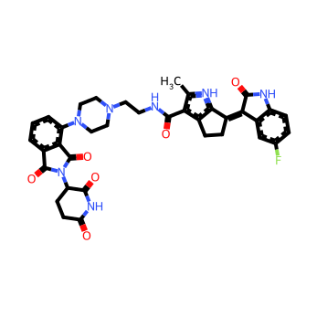 Cc1[nH]c2c(c1C(=O)NCCN1CCN(c3cccc4c3C(=O)N(C3CCC(=O)NC3=O)C4=O)CC1)CC/C2=C1/C(=O)Nc2ccc(F)cc21